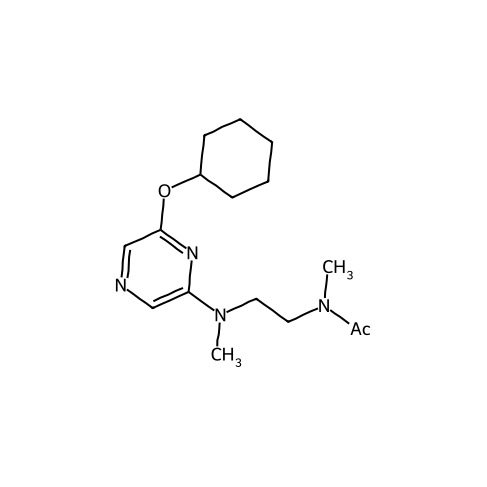 CC(=O)N(C)CCN(C)c1cncc(OC2CCCCC2)n1